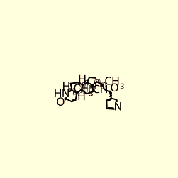 C[C@H](CC(=O)c1cccnc1)[C@H]1CC[C@H]2[C@@H]3CC[C@H]4NC(=O)C=C[C@]4(C)[C@H]3CC[C@]12C